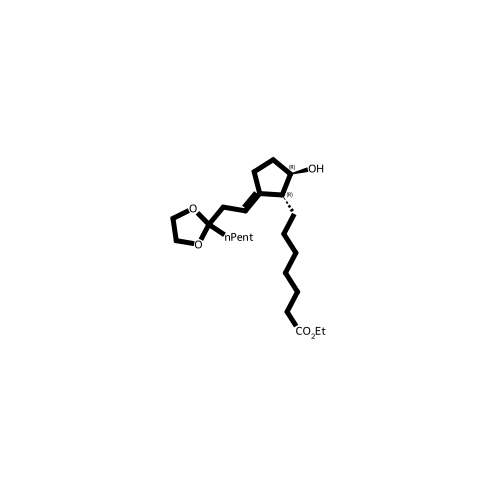 CCCCCC1(CC=C2CC[C@@H](O)[C@@H]2CCCCCCC(=O)OCC)OCCO1